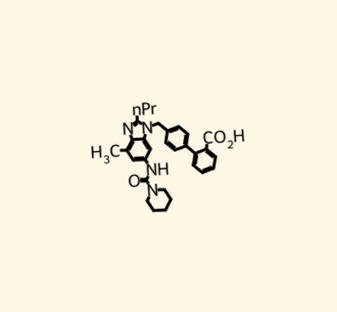 CCCc1nc2c(C)cc(NC(=O)N3CCCCC3)cc2n1Cc1ccc(-c2ccccc2C(=O)O)cc1